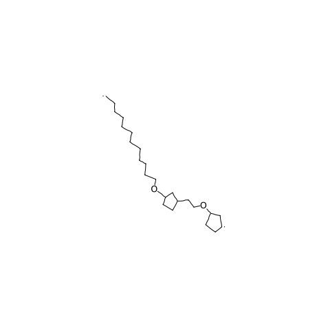 [CH2]CCCCCCCCCCCOC1CCC(CCOC2C[CH]CC2)C1